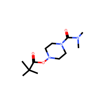 CN(C)C(=O)N1CCN(OC(=O)C(C)(C)C)CC1